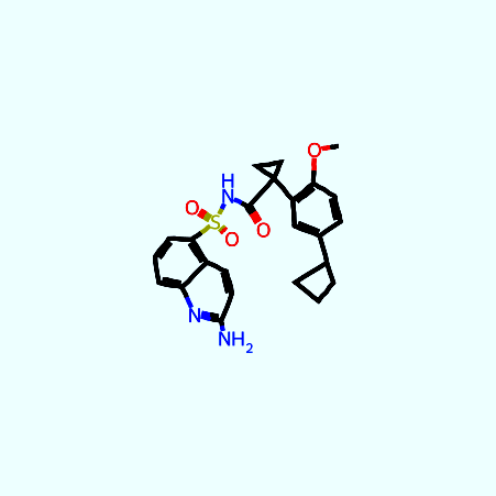 COc1ccc(C2CCC2)cc1C1(C(=O)NS(=O)(=O)c2cccc3nc(N)ccc23)CC1